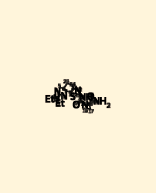 CCN(CC)c1ncc2c(n1)-c1sc(NC(=O)N3CC[C@H]3C(N)=O)nc1CC2